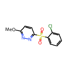 COc1ccc(S(=O)(=O)c2ccccc2Cl)nn1